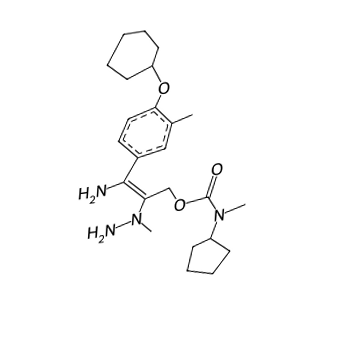 Cc1cc(/C(N)=C(\COC(=O)N(C)C2CCCC2)N(C)N)ccc1OC1CCCCC1